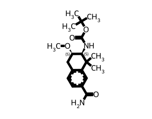 CO[C@H]1Cc2ccc(C(N)=O)cc2C(C)(C)[C@@H]1NC(=O)OC(C)(C)C